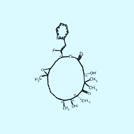 C[C@H]1CCCC2(C)OC2C[C@@H](C(F)=Cc2ccccn2)OC(=O)C[C@H](O)C(C)(C)C(=O)[C@H](C)[C@H]1O